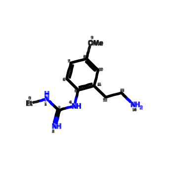 CCNC(=N)Nc1ccc(OC)cc1CCN